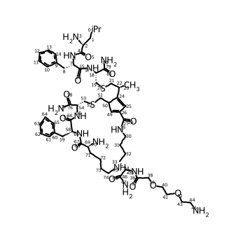 CC(C)C[C@H](N)C(=O)N[C@@H](Cc1ccccc1)C(=O)N[C@@H](CSC[C@@H](C)C1=CC(C(=O)NCCCC[C@H](NC(=O)COCCOCCN)C(N)=O)=CC1CSC[C@H](NC(=O)[C@H](Cc1ccccc1)NC(=O)[C@@H](N)CCCCN)C(N)=O)C(N)=O